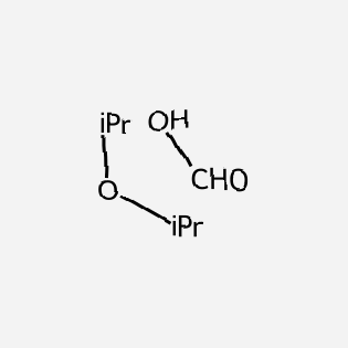 CC(C)OC(C)C.O=CO